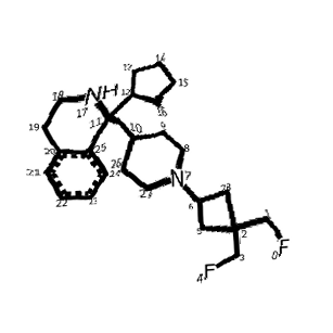 FCC1(CF)CC(N2CCC(C3(C4CCCC4)NCCc4ccccc43)CC2)C1